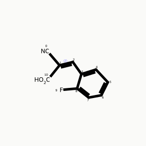 N#C/C(=C/c1ccccc1F)C(=O)O